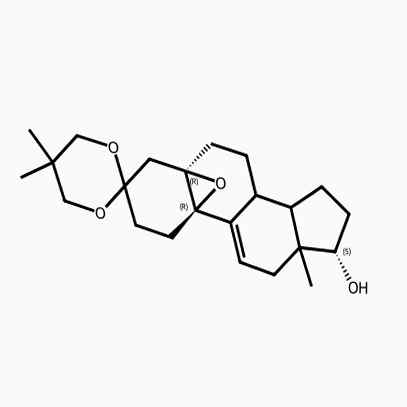 CC1(C)COC2(CC[C@]34O[C@]3(CCC3C4=CCC4(C)C3CC[C@@H]4O)C2)OC1